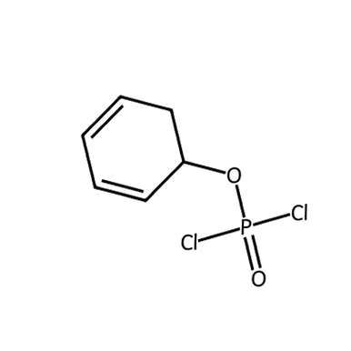 O=P(Cl)(Cl)OC1C=CC=CC1